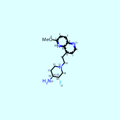 COc1ccc2nccc(CCN3CC[C@H](N)[C@@H](F)C3)c2n1